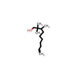 C=CCCCCCC(C)C(C)(C)CO